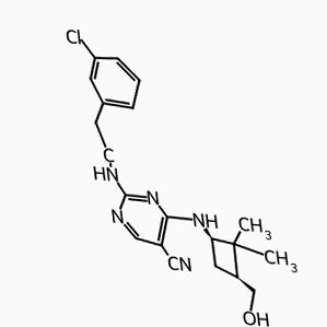 CC1(C)[C@@H](CO)C[C@H]1Nc1nc(NCCc2cccc(Cl)c2)ncc1C#N